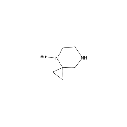 CCC(C)N1CCNCC12CC2